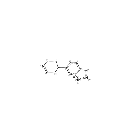 C1=NCCC(c2ccc3cn[nH]c3c2)C1